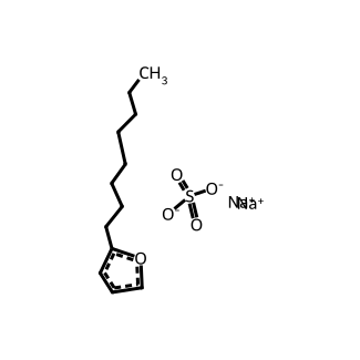 CCCCCCCCc1ccco1.O=S(=O)([O-])[O-].[Na+].[Na+]